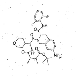 C[C@@H](C(=O)NC(C(=O)N1Cc2cc(N)ccc2C[C@H]1C(=O)Nc1c(F)cccc1F)C1CCOCC1)N(C)C(=O)OC(C)(C)C